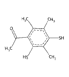 CC(=O)c1c(C)c(C)c(S)c(C)c1S